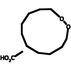 C1CCCCCOOCCCC1.CC(=O)O